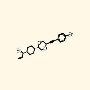 C=CC(CC)[C@H]1CC[C@H](C2COC(C#Cc3ccc(CC)cc3)CO2)CC1